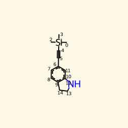 C[Si](C)(C)C#Cc1ccc2c(c1)NCC2